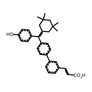 CC1(C)CC(=C(c2ccc(O)cc2)c2ccc(-c3cccc(C=CC(=O)O)c3)cc2)CC(C)(C)C1